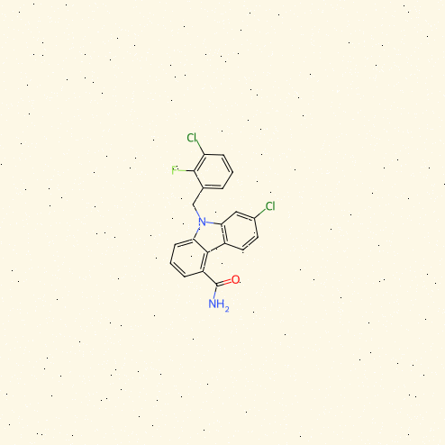 NC(=O)c1cccc2c1c1[c]cc(Cl)cc1n2Cc1cccc(Cl)c1F